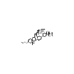 C=CCCc1ccc(OCc2ccc3c(c2F)C(F)(F)C(F)(F)c2c-3ccc(OCC)c2F)c(F)c1